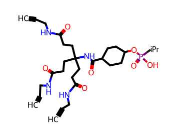 C#CCNC(=O)CCC(CCC(=O)NCC#C)(CCC(=O)NCC#C)NC(=O)C1CCC(OP(=O)(O)C(C)C)CC1